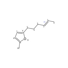 C/C=C/CCCc1ccc(C)o1